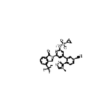 Cn1cnnc1-c1ccc(C#N)cc1-c1cc(NS(=O)(=O)C2CC2)nc(N2Cc3c(cccc3C(F)(F)F)C2=O)c1